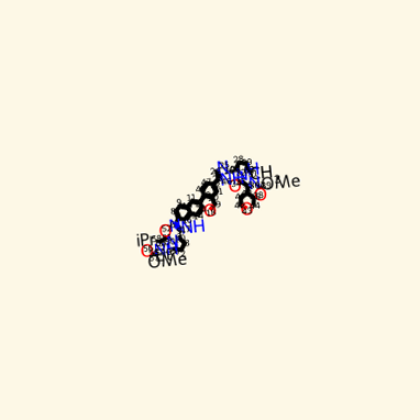 CC[C@H]1CC[C@@H](c2nc3ccc4cc5c(cc4c3[nH]2)OCc2cc(-c3cnc([C@@H]4CC[C@H](C)N4C(=O)C(NC(=O)OC)C4CCOCC4)[nH]3)ccc2-5)N1C(=O)[C@@H](NC(=O)OC)C(C)C